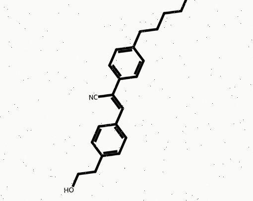 N#C/C(=C\c1ccc(CCO)cc1)c1ccc(CCCCO)cc1